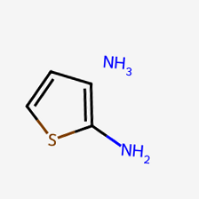 N.Nc1cccs1